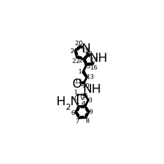 NC[C@H](Cc1ccccc1)NC(=O)C=Cc1c[nH]c2ncccc12